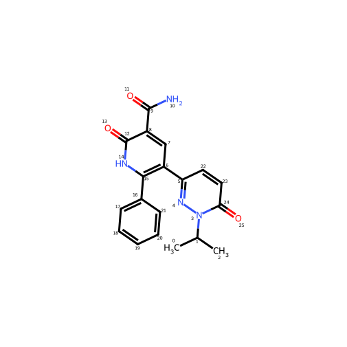 CC(C)n1nc(-c2cc(C(N)=O)c(=O)[nH]c2-c2ccccc2)ccc1=O